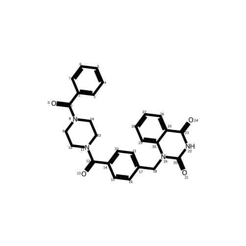 O=C(c1ccccc1)N1CCN(C(=O)c2ccc(Cn3c(=O)[nH]c(=O)c4ccccc43)cc2)CC1